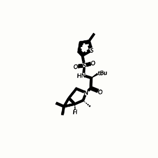 Cc1ccc(S(=O)(=O)N[C@H](C(=O)N2CC3[C@@H]([C@H]2C)C3(C)C)C(C)(C)C)s1